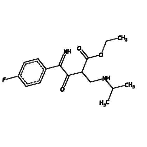 CCOC(=O)C(CNC(C)C)C(=O)C(=N)c1ccc(F)cc1